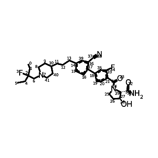 CCC(F)(CC)CN1CCC(CCCc2ccc(-c3ccc(C(=O)N4CC[C@H](O)[C@H]4C(N)=O)c(F)c3)c(C#N)c2)CC1